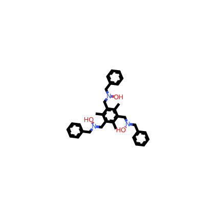 Cc1c(CN(O)Cc2ccccc2)c(C)c(CN(O)Cc2ccccc2)c(C)c1CN(O)Cc1ccccc1